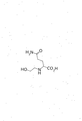 NC(=O)CCC(NCCO)C(=O)O